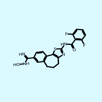 N=C(NO)c1ccc2c(c1)CCCc1nc(NC(=O)c3c(F)cccc3F)sc1-2